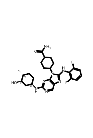 C[C@@H]1CC[C@@H](Nc2ncc3nc(Nc4c(F)cccc4F)n(C4CCC(C(N)=O)CC4)c3n2)C[C@H]1O